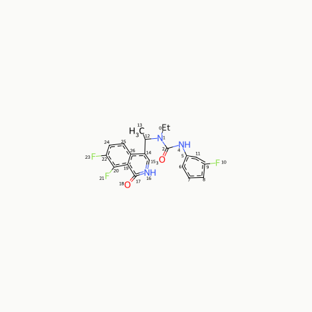 CCN(C(=O)Nc1cccc(F)c1)C(C)c1c[nH]c(=O)c2c(F)c(F)ccc12